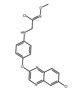 CO/N=C(\Cl)CNc1ccc(Oc2cnc3cc(Cl)ccc3n2)cc1